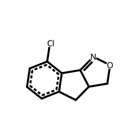 Clc1cccc2c1C1=NOCC1C2